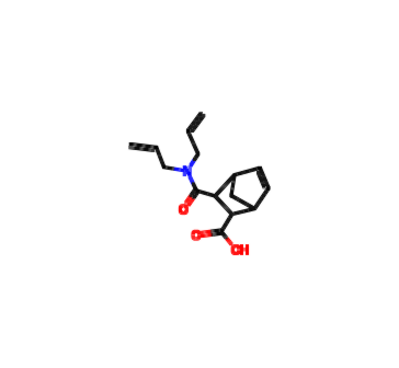 C=CCN(CC=C)C(=O)C1C2C=CC(C2)C1C(=O)O